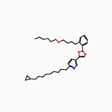 CCCCCCOCCCCc1ccccc1C1OC=C(c2ccc(CCCCCCCCCC3CC3)nc2)O1